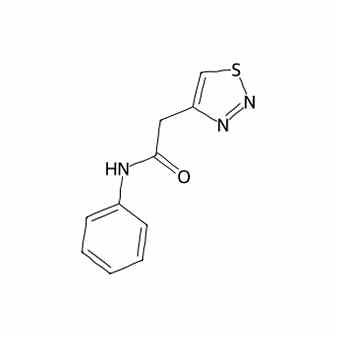 O=C(Cc1csnn1)Nc1ccccc1